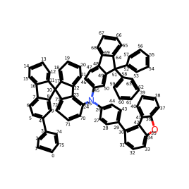 c1ccc(-c2ccc3c(c2)C2(c4ccccc4-3)c3ccccc3-c3c(N(c4ccc(-c5cccc6oc7ccccc7c56)cc4)c4ccc5c(c4)C(c4ccccc4)(c4ccccc4)c4ccccc4-5)cccc32)cc1